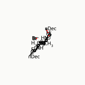 CCCCCCCCCCCCCCOc1ccc(CC(=O)Nc2cccc(Cn3c(C)cs[c+]3-[c+]3scc(C)n3Cc3cccc(NC(=O)Cc4cccc(F)c4OCCCCCCCCCCCCCC)c3)c2)cc1F.[Br-].[Br-]